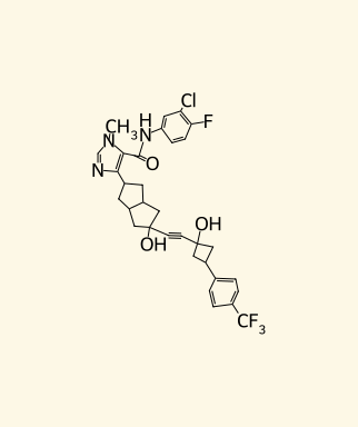 Cn1cnc(C2CC3CC(O)(C#CC4(O)CC(c5ccc(C(F)(F)F)cc5)C4)CC3C2)c1C(=O)Nc1ccc(F)c(Cl)c1